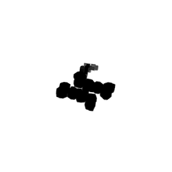 [Cl-].[Cl-].[Zr+2].c1ccc2c(-c3ccc4c(c3)Cc3c-4ccc(-c4cccc5ccccc45)c3CCc3c(-c4cccc5ccccc45)ccc4c3Cc3cc(-c5cccc6ccccc56)ccc3-4)cccc2c1